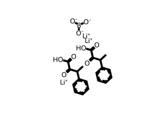 CC(C(=O)C(=O)O)c1ccccc1.CC(C(=O)C(=O)O)c1ccccc1.[Li+].[Li+].[Li+].[O-]B([O-])[O-]